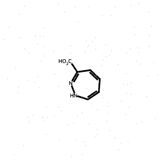 O=C(O)C1=NNC=CC=C1